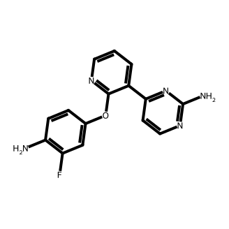 Nc1nccc(-c2cccnc2Oc2ccc(N)c(F)c2)n1